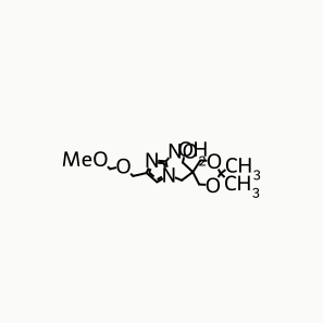 COCOCc1cn(CC2(CO)COC(C)(C)OC2)c([N+](=O)[O-])n1